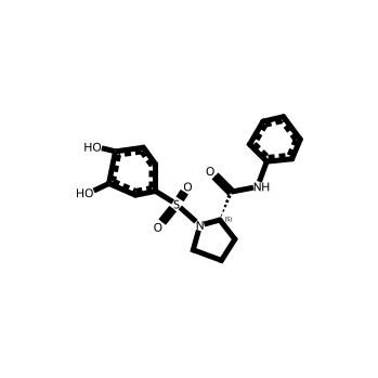 O=C(Nc1ccccc1)[C@@H]1CCCN1S(=O)(=O)c1ccc(O)c(O)c1